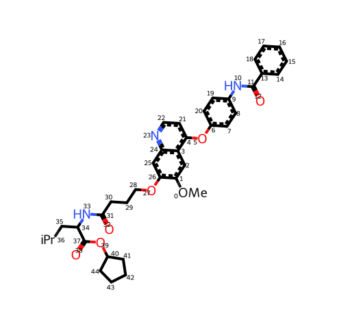 COc1cc2c(Oc3ccc(NC(=O)c4ccccc4)cc3)ccnc2cc1OCCCC(=O)NC(CC(C)C)C(=O)OC1CCCC1